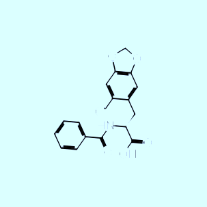 O=C(N[C@@H](Cc1cc2c(cc1Cl)OCO2)C(=O)O)c1ccccc1